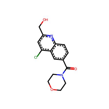 O=C(c1ccc2nc(CO)cc(Cl)c2c1)N1CCOCC1